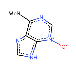 CNc1nc[n+]([O-])c2[nH]cnc12